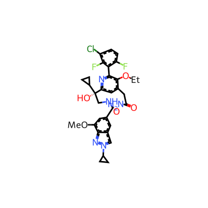 CCOc1c(CC(N)=O)cc([C@@](O)(CNC(=O)c2cc(OC)c3nn(C4CC4)cc3c2)C2CC2)nc1-c1c(F)ccc(Cl)c1F